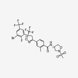 Cc1cc(C2=NO[C@@](c3cc(C(F)(F)F)cc(Br)c3F)(C(F)(F)F)C2)ccc1C(=O)N[C@@H]1CON(S(C)(=O)=O)C1